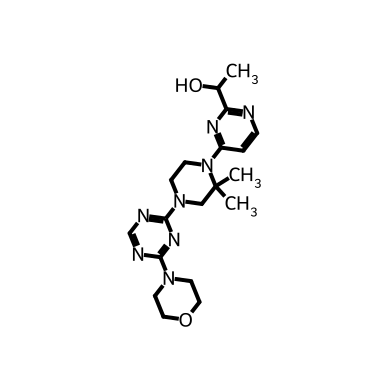 CC(O)c1nccc(N2CCN(c3ncnc(N4CCOCC4)n3)CC2(C)C)n1